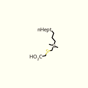 CCCCCCCCCC[Si](C)(C)CSCC(=O)O